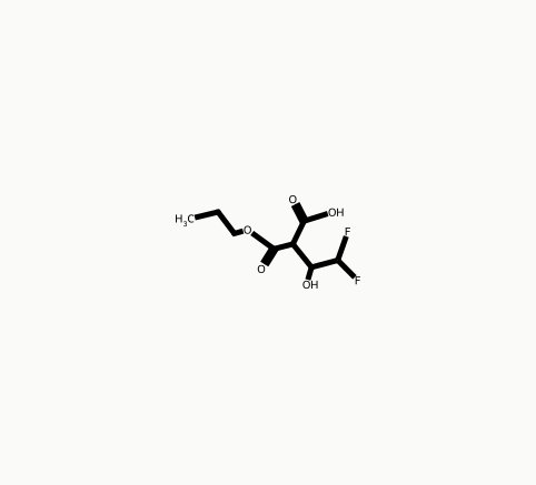 CCCOC(=O)C(C(=O)O)C(O)C(F)F